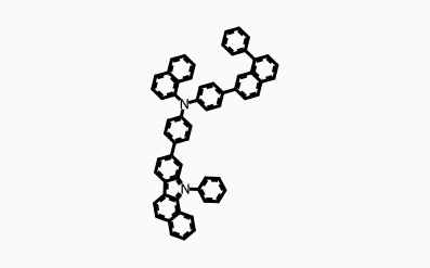 c1ccc(-c2cccc3ccc(-c4ccc(N(c5ccc(-c6ccc7c8ccc9ccccc9c8n(-c8ccccc8)c7c6)cc5)c5cccc6ccccc56)cc4)cc23)cc1